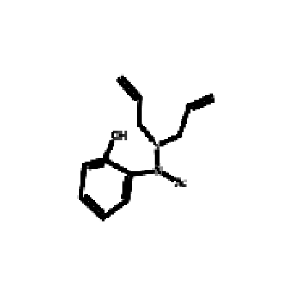 C=CCN(CC=C)N(C(C)=O)c1ccccc1O